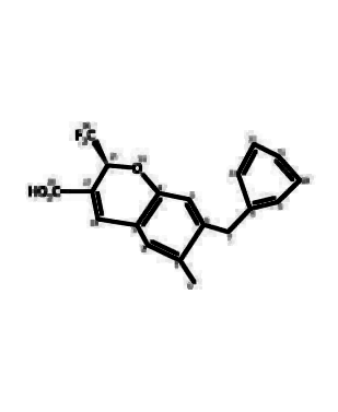 Cc1cc2c(cc1Cc1ccccc1)O[C@H](C(F)(F)F)C(C(=O)O)=C2